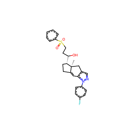 C[C@]12Cc3cnn(-c4ccc(F)cc4)c3C=C1CC[C@@H]2C(O)CCS(=O)(=O)c1ccccc1